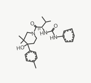 Cc1ccc(C2(O)CCN(C(=O)[C@H](NC(=O)Nc3ccccc3)C(C)C)CC2(C)C)cc1